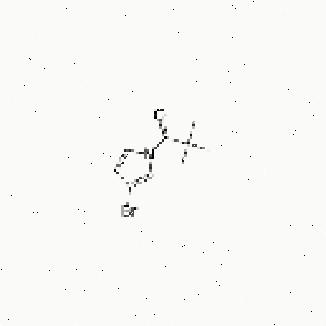 CC(C)(C)C(=O)n1ccc(Br)c1